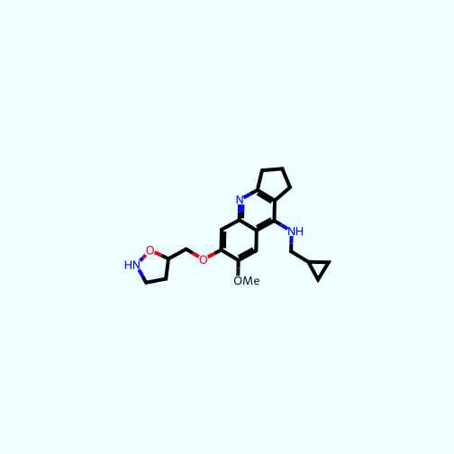 COc1cc2c(NCC3CC3)c3c(nc2cc1OCC1CCNO1)CCC3